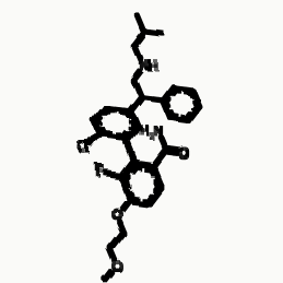 COCCOc1ccc(C(N)=O)c(-c2cc(C(CNCC(C)C)c3ccccc3)ccc2Cl)c1F